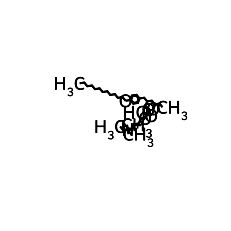 CCCCCCCCCCCCOc1ccc(CC(COP(=O)(O)OCCCC[N+](C)(C)CC)CC(=O)CC)cc1